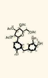 CC(=O)OC[C@H]1OC(c2ccc(Cl)c(Cc3ccc(O)c(N)c3)c2)[C@H](OC(C)=O)[C@@H](OC(C)=O)[C@@H]1OC(C)=O